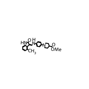 COC(=O)C1CCN(c2ccc(NC=C3C(=O)Nc4cccc(C)c43)cc2)CC1